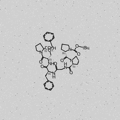 CC(C)(C)OC(=O)N1CCC[C@H]1C(=O)N1CCC[C@H]1C(=O)NCC(=O)N[C@@H](Cc1ccccc1)C(=O)N[C@@H](COCc1ccccc1)C(=O)N1CCC[C@H]1C(=O)O